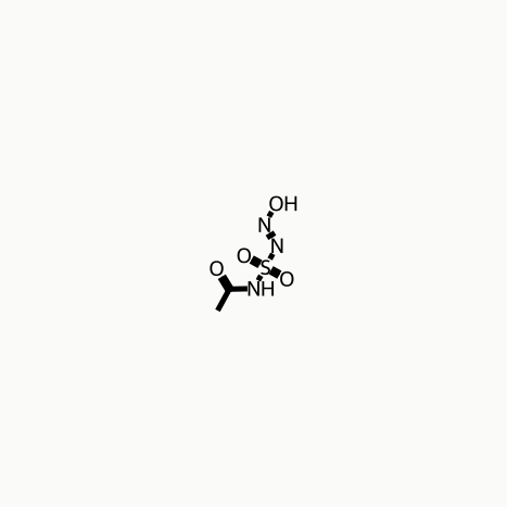 CC(=O)NS(=O)(=O)N=NO